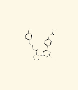 CNC(=O)Oc1ccc(-c2cc(N3CCCC3C(=O)NCCc3ccc(C#N)cc3)nc(C(F)(F)F)n2)cc1